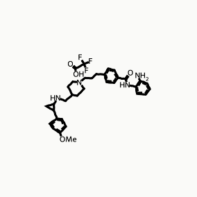 COc1ccc(C2CC2NCC2CCN(CCCc3ccc(C(=O)Nc4ccccc4N)cc3)CC2)cc1.O=C(O)C(F)(F)F